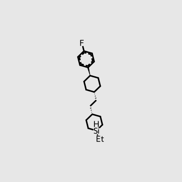 CC[Si@H]1CC[C@H](CC[C@H]2CC[C@H](c3ccc(F)cc3)CC2)CC1